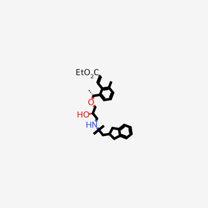 CCOC(=O)/C=C/c1c(C)cccc1[C@@H](C)OC[C@H](O)CNC(C)(C)CC1Cc2ccccc2C1